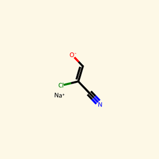 N#CC(Cl)=C[O-].[Na+]